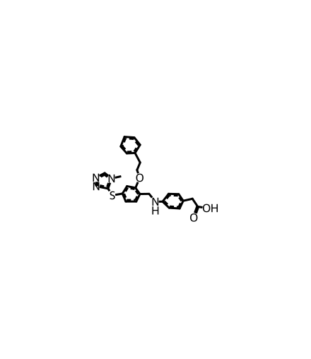 Cn1cnnc1Sc1ccc(CNc2ccc(CC(=O)O)cc2)c(OCCc2ccccc2)c1